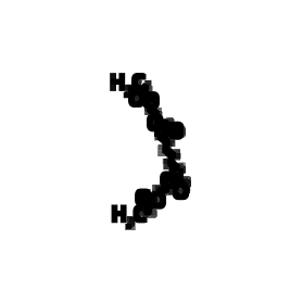 C=CC(=O)OCCON(C=O)CCCCCCN(C=O)OCCOC(=O)C=C